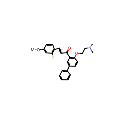 COc1ccc(/C=C/C(=O)c2cc(-c3ccccc3)ccc2OCCN(C)C)c(F)c1